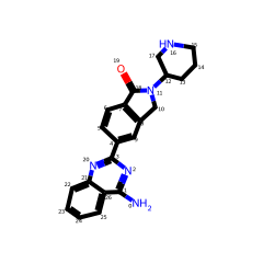 Nc1nc(-c2ccc3c(c2)CN(C2CCCNC2)C3=O)nc2ccccc12